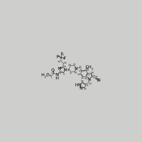 C=CC(=O)Nc1cn(C2CCN(Cc3ccc4c(cc(C#N)n4Cc4cn[nH]c4)c3C)CC2)c(CCC(F)(F)F)n1